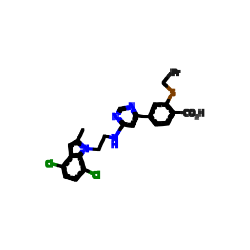 Cc1cc2c(Cl)ccc(Cl)c2n1CCNc1cc(-c2ccc(C(=O)O)c(SCC(C)C)c2)ncn1